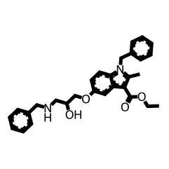 CCOC(=O)c1c(C)n(Cc2ccccc2)c2ccc(OCC(O)CNCc3ccccc3)cc12